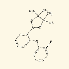 CC1(C)OB(c2ccccc2Oc2ccccc2F)OC1(C)C